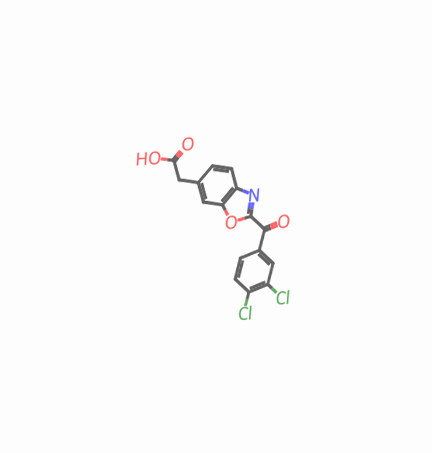 O=C(O)Cc1ccc2nc(C(=O)c3ccc(Cl)c(Cl)c3)oc2c1